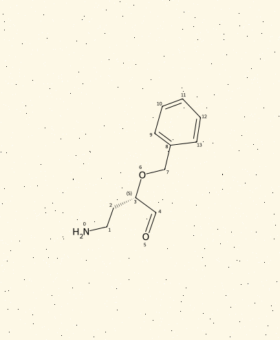 NCC[C@@H](C=O)OCc1ccccc1